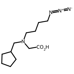 [N-]=[N+]=NCCCCN(CC(=O)O)CC1CCCC1